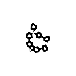 c1ccc(-c2ccc(N(c3ccccc3)c3cccc(-c4ccc5oc6ccc(-c7ccccc7)cc6c5c4)c3)cc2)cc1